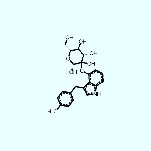 Cc1ccc(Cc2c[nH]c3cccc(O[C@]4(O)[C@H](O)O[C@H](CO)[C@@H](O)[C@@H]4O)c23)cc1